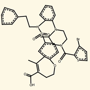 CC1=C(C(=O)O)CCOc2ccc(S(=O)(=O)N(CCc3ccccc3)c3ccccc3N3CCN(C(=O)c4sccc4Br)CC3C)cc21